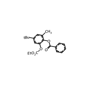 CCOC(=O)Oc1cc(C(C)(C)C)cc(C)c1OC(=O)c1ccccc1